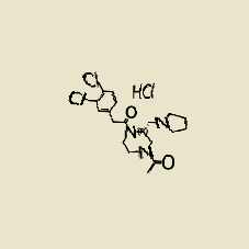 CC(=O)N1CCN(C(=O)Cc2ccc(Cl)c(Cl)c2)[C@H](CN2CCCC2)C1.Cl